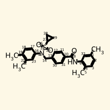 Cc1ccc(C)c(NC(=O)c2ccc(CN(c3ccc(C)c(C)c3)S(=O)(=O)C3CC3)cc2)c1